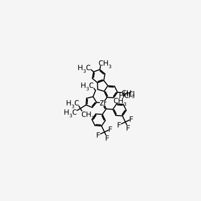 CCC1C=C(C(C)(C)C)C=[C]1[Zr](=[C](c1cccc(C(F)(F)F)c1)c1cccc(C(F)(F)F)c1)[c]1c(C)c(C)cc2c1Cc1cc(C)c(C)cc1-2.Cl.Cl